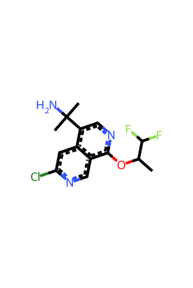 CC(Oc1ncc(C(C)(C)N)c2cc(Cl)ncc12)C(F)F